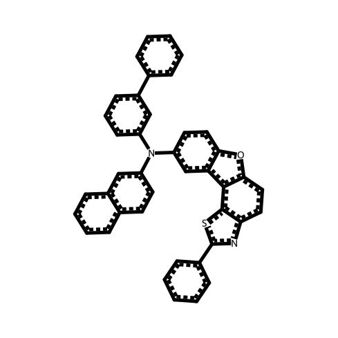 c1ccc(-c2cccc(N(c3ccc4ccccc4c3)c3ccc4oc5ccc6nc(-c7ccccc7)sc6c5c4c3)c2)cc1